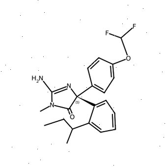 CCC(C)c1ccccc1[C@]1(c2ccc(OC(F)F)cc2)N=C(N)N(C)C1=O